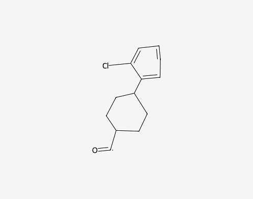 O=[C]C1CCC(c2ccccc2Cl)CC1